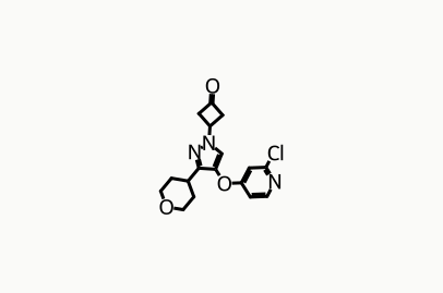 O=C1CC(n2cc(Oc3ccnc(Cl)c3)c(C3CCOCC3)n2)C1